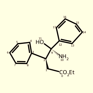 CCOC(=O)C[C@@H](c1ccccc1)[C@@](N)(O)c1ccccc1